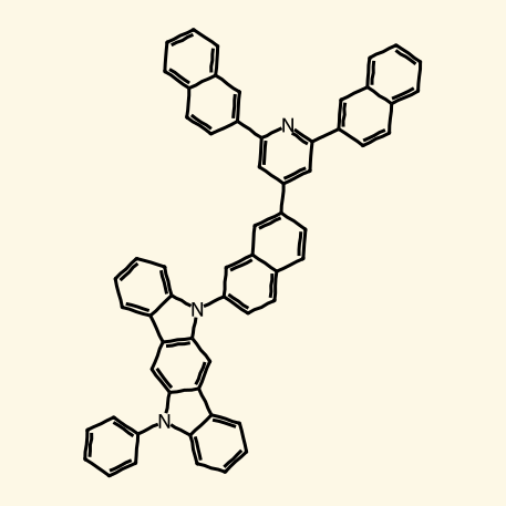 c1ccc(-n2c3ccccc3c3cc4c(cc32)c2ccccc2n4-c2ccc3ccc(-c4cc(-c5ccc6ccccc6c5)nc(-c5ccc6ccccc6c5)c4)cc3c2)cc1